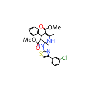 COC(=O)C1=C(C)NC(C)(Nc2nc(-c3cccc(Cl)c3)cs2)C(C(=O)OC)C1c1ccccc1